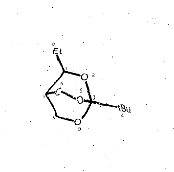 CCC1OC2(C(C)(C)C)OCC1CO2